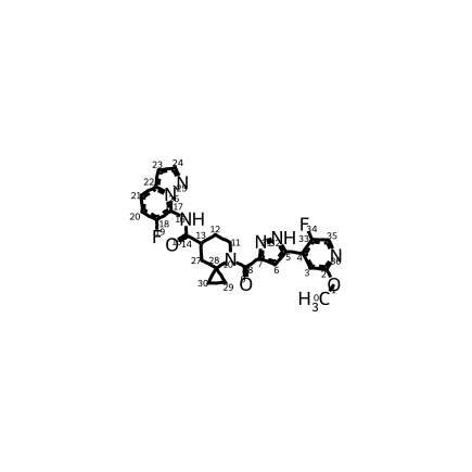 COc1cc(-c2cc(C(=O)N3CCC(C(=O)Nc4c(F)ccc5ccnn45)CC34CC4)n[nH]2)c(F)cn1